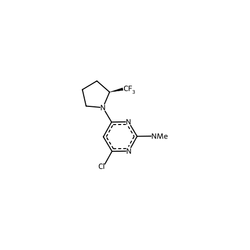 CNc1nc(Cl)cc(N2CCC[C@H]2C(F)(F)F)n1